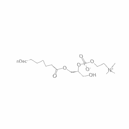 CCCCCCCCCCCCCCCC(=O)OC[C@H](CO)OP(=O)([O-])OCC[N+](C)(C)C